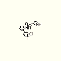 O=C(Nc1ccccc1-c1ccc(F)c(Cl)c1)OC[C@@H]1CCNC1